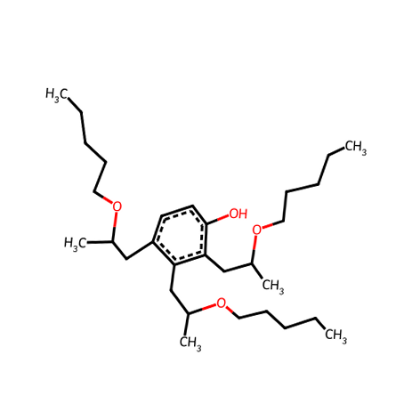 CCCCCOC(C)Cc1ccc(O)c(CC(C)OCCCCC)c1CC(C)OCCCCC